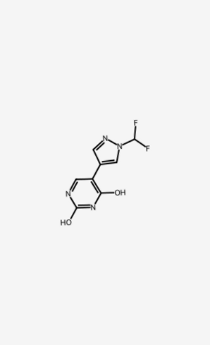 Oc1ncc(-c2cnn(C(F)F)c2)c(O)n1